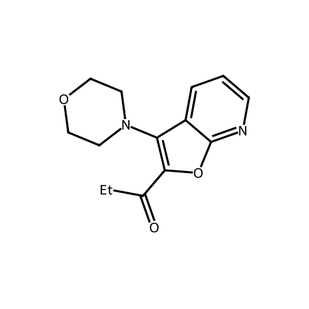 CCC(=O)c1oc2ncccc2c1N1CCOCC1